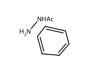 CC(=O)NN.c1ccccc1